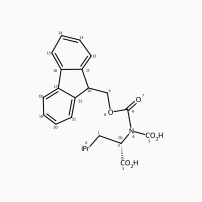 CC(C)C[C@@H](C(=O)O)N(C(=O)O)C(=O)OCC1c2ccccc2-c2ccccc21